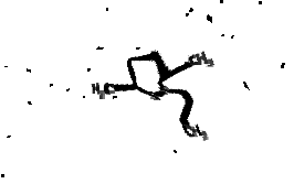 C=CN1SC(=C)CCC1=C